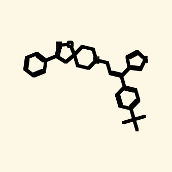 CC(C)(C)c1ccc(/C(=C/CN2CCC3(CC2)CC(c2ccccc2)=NO3)c2ccsc2)cc1